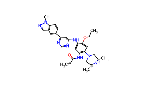 C=CC(=O)Nc1cc(Nc2cc(-c3ccc4c(cnn4C)c3)ncn2)c(OCC)cc1N1C[C@@H](C)N[C@@H](C)C1